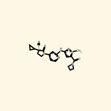 Cn1nc(Nc2cc(N3CC[C@@](C#N)(C4CC4)C3=O)ccn2)cc1C(=O)N1CCC1